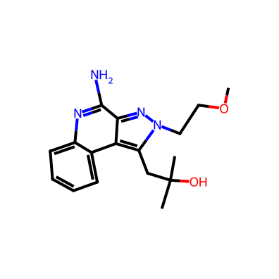 COCCn1nc2c(N)nc3ccccc3c2c1CC(C)(C)O